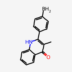 Bc1ccc(-c2[nH]c3ccccc3c(=O)c2C)cc1